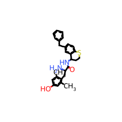 Cc1cc(O)cc(C)c1CC(N)C(=O)NC1CCSc2ccc(Cc3ccccc3)cc21